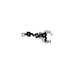 Cc1cc(CC(=O)O)cc(S(=O)(=O)N2CCN(CCc3ccc(Cl)cc3)CC2)c1